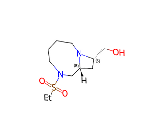 CCS(=O)(=O)N1CCCCN2[C@H](CO)C[C@@H]2C1